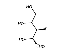 O=C[C@@H](O)[C@H](F)[C@H](O)CO